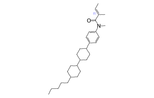 C/C=C(\C)C(=O)N(C)c1ccc(C2CCC(C3CCC(CCCCC)CC3)CC2)cc1